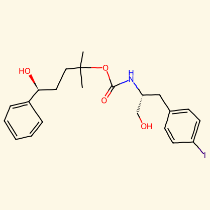 CC(C)(CC[C@H](O)c1ccccc1)OC(=O)N[C@@H](CO)Cc1ccc(I)cc1